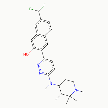 CC1C(N(C)c2ccc(-c3cc4ccc(C(F)F)cc4cc3O)nn2)CCN(C)C1(C)C